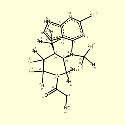 [2H]c1nc(N([C@@H]2[C@H](C([2H])([2H])[2H])C([2H])([2H])C([2H])([2H])N(C(=O)C[N+]#[C-])C2([2H])[2H])C([2H])([2H])[2H])c2cc[nH]c2n1